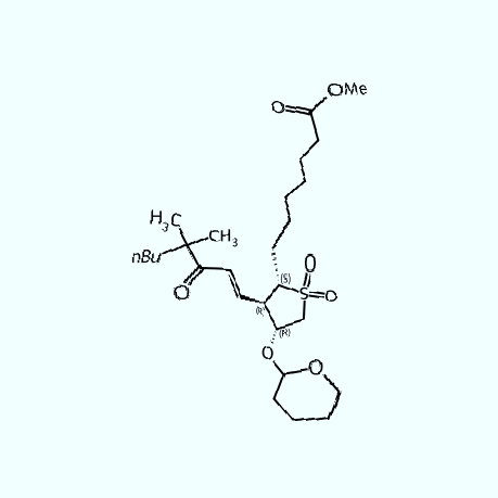 CCCCC(C)(C)C(=O)C=C[C@@H]1[C@@H](OC2CCCCO2)CS(=O)(=O)[C@H]1CCCCCCC(=O)OC